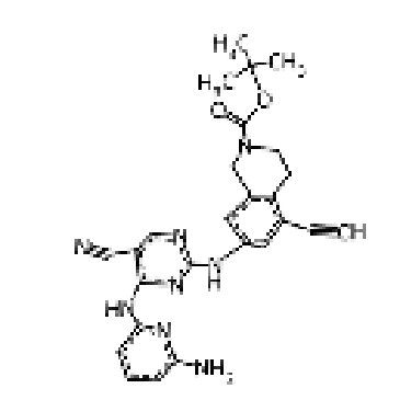 C#Cc1cc(Nc2ncc(C#N)c(Nc3cccc(N)n3)n2)cc2c1CCN(C(=O)OC(C)(C)C)C2